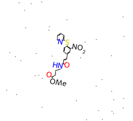 COC(=O)CCCNC(=O)/C=C/c1ccc(Sc2ccccn2)c([N+](=O)[O-])c1